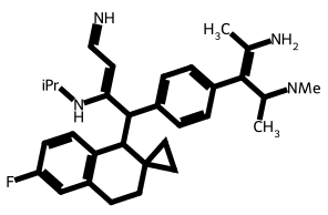 CNC(C)/C(=C(/C)N)c1ccc(C(/C(=C/C=N)NC(C)C)C2c3ccc(F)cc3CCC23CC3)cc1